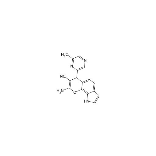 Cc1cncc(C2C(C#N)=C(N)Oc3c2ccc2cc[nH]c32)n1